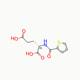 O=C(O)CC[C@H](NC(=O)c1cccs1)C(=O)O